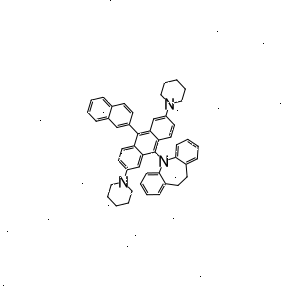 c1ccc2c(c1)CCc1ccccc1N2c1c2ccc(N3CCCCC3)cc2c(-c2ccc3ccccc3c2)c2ccc(N3CCCCC3)cc12